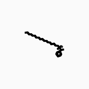 CCCCCCCCCCCCCCCCCC[N+](C)(C)C(C)c1ccccc1